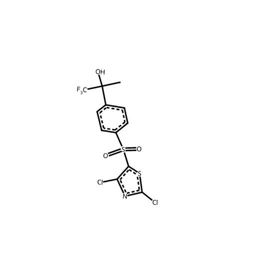 CC(O)(c1ccc(S(=O)(=O)c2sc(Cl)nc2Cl)cc1)C(F)(F)F